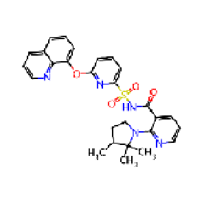 CC1CCN(c2ncccc2C(=O)NS(=O)(=O)c2cccc(Oc3cccc4cccnc34)n2)C1(C)C